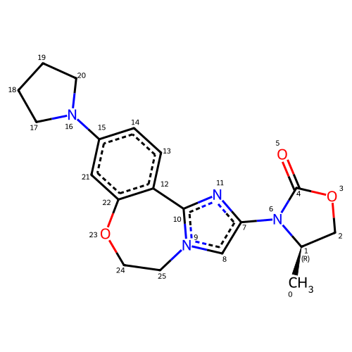 C[C@@H]1COC(=O)N1c1cn2c(n1)-c1ccc(N3CCCC3)cc1OCC2